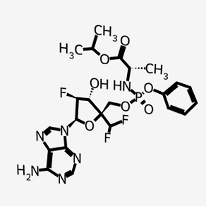 CC(C)OC(=O)[C@H](C)NP(=O)(OC[C@@]1(C(F)F)O[C@@H](n2cnc3c(N)ncnc32)[C@@H](F)[C@@H]1O)Oc1ccccc1